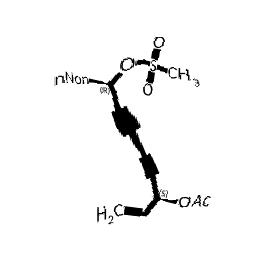 C=C[C@@H](C#CC#C[C@@H](CCCCCCCCC)OS(C)(=O)=O)OC(C)=O